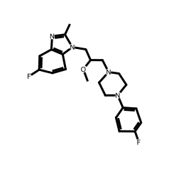 COC(CN1CCN(c2ccc(F)cc2)CC1)Cn1c(C)nc2cc(F)ccc21